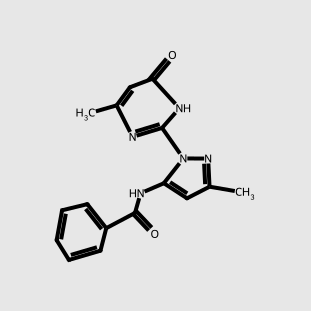 Cc1cc(=O)[nH]c(-n2nc(C)cc2NC(=O)c2ccccc2)n1